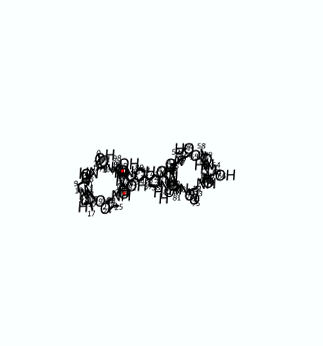 COC[C@@H]1NC(=O)[C@H]2CCCNN2C(=O)[C@H](C(C)C)OC(=O)[C@@H](C(C)C)NC(=O)[C@@H]2C[C@@]3(O)c4cc(-c5ccc6c(c5)[C@]5(O)C[C@H]7C(=O)N[C@H](C(C)C)C(=O)O[C@@H](C(C)C)C(=O)N8NC[C@H](O)C[C@@H]8C(=O)N[C@@H](COC)C(=O)N[C@H]([C@H](C)O)C(=O)N7[C@@H]5N6)ccc4N[C@H]3N2C(=O)[C@@H]([C@H](C)O)NC1=O